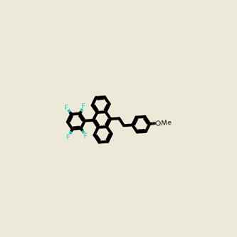 COc1ccc(CCc2c3ccccc3c(-c3c(F)c(F)cc(F)c3F)c3ccccc23)cc1